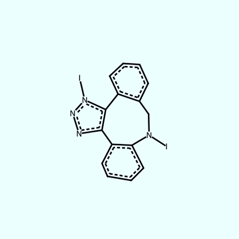 IN1Cc2ccccc2-c2c(nnn2I)-c2ccccc21